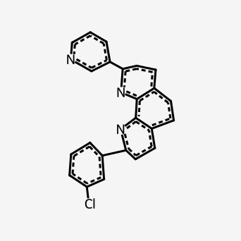 Clc1cccc(-c2ccc3ccc4ccc(-c5cccnc5)nc4c3n2)c1